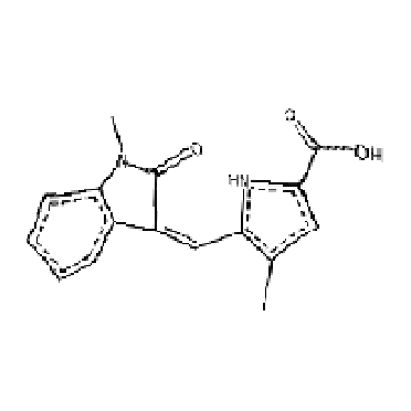 Cc1cc(C(=O)O)[nH]c1/C=C1\C(=O)N(C)c2ccccc21